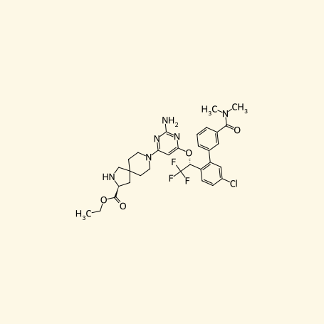 CCOC(=O)[C@@H]1CC2(CCN(c3cc(O[C@H](c4ccc(Cl)cc4-c4cccc(C(=O)N(C)C)c4)C(F)(F)F)nc(N)n3)CC2)CN1